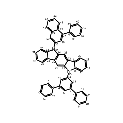 c1ccc(-c2cc(-c3ccccc3)cc(-n3c4ccccc4c4cc5c(cc43)c3ccccc3n5-c3cc(-c4ccccc4)c4ccccc4c3)c2)cc1